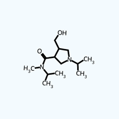 CC(C)N1CC(CO)C(C(=O)N(C)C(C)C)C1